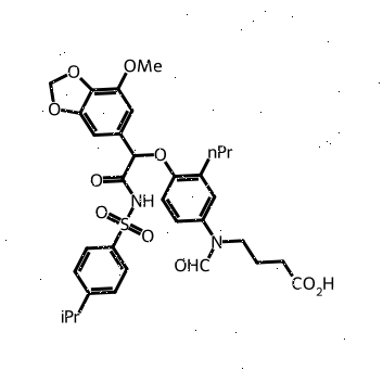 CCCc1cc(N(C=O)CCCC(=O)O)ccc1OC(C(=O)NS(=O)(=O)c1ccc(C(C)C)cc1)c1cc(OC)c2c(c1)OCO2